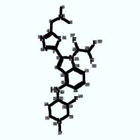 CN(C)Cc1nnc(-c2cc3c(N[C@@H]4CCN(C)C[C@@H]4F)cccc3n2C(F)C(F)F)s1